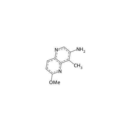 COc1ccc2ncc(N)c(C)c2n1